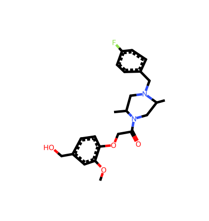 COc1cc(CO)ccc1OCC(=O)N1CC(C)N(Cc2ccc(F)cc2)CC1C